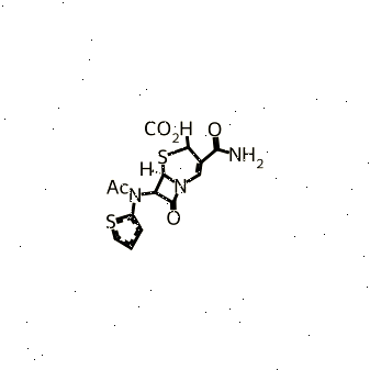 CC(=O)N(c1cccs1)C1C(=O)N2C=C(C(N)=O)C(C(=O)O)S[C@H]12